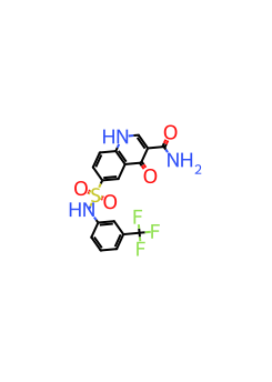 NC(=O)c1c[nH]c2ccc(S(=O)(=O)Nc3cccc(C(F)(F)F)c3)cc2c1=O